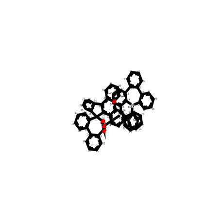 c1ccc(N(c2ccc3c(c2)C2(c4ccccc4-c4ccccc4-3)c3ccccc3-c3c2c2ccccc2c2ccccc32)c2cccc3c2N(c2ccccc2)c2ccccc2-c2ccccc2-3)cc1